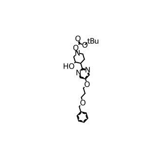 CC(C)(C)OC(=O)ON1CCC(c2ncc(OCCCOCc3ccccc3)cn2)C(O)C1